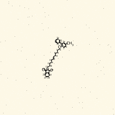 Cc1ccc(OCCCCCCCCCCCCN2C(=O)c3ccccc3C2=O)c(-c2ccccc2)c1